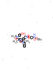 Cc1c(C(=O)N(C)c2ccc(O)cc2)cc(-c2cc3c(cc2C(=O)N2Cc4ccccc4C[C@H]2C)CN(C(=O)O[C@H]2CC[C@H](NC(=O)OC(C)(C)C)CC2)CC3)n1C